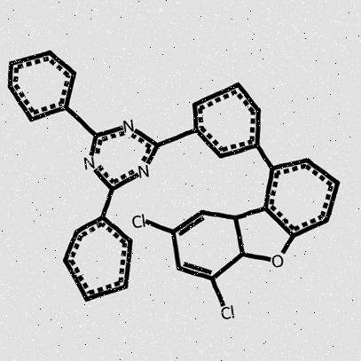 ClC1=CC2c3c(cccc3-c3cccc(-c4nc(-c5ccccc5)nc(-c5ccccc5)n4)c3)OC2C(Cl)=C1